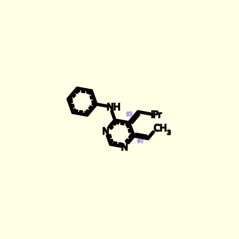 C/C=c1/ncnc(Nc2ccccc2)/c1=C/C(C)C